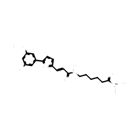 Cc1cc(C)cc(-c2ccc(/C=C/C(=O)NCCCCCC(=O)NO)o2)c1